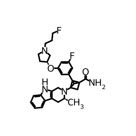 C[C@H]1Cc2c([nH]c3ccccc23)CN1C12CC(C(N)=O)(C1)C2c1cc(F)cc(O[C@H]2CCN(CCCF)C2)c1